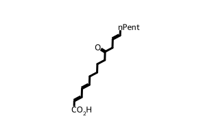 CCCCCC=CCC(=O)CCCCC=CC=CC(=O)O